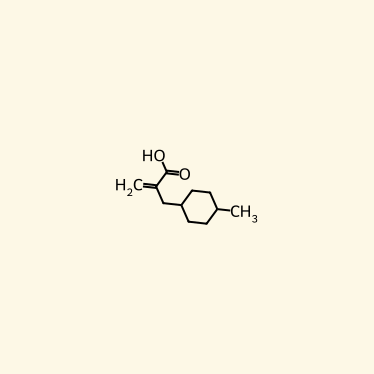 C=C(CC1CCC(C)CC1)C(=O)O